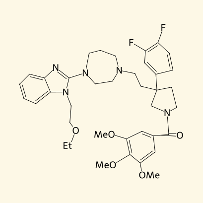 CCOCCn1c(N2CCCN(CCC3(c4ccc(F)c(F)c4)CCN(C(=O)c4cc(OC)c(OC)c(OC)c4)C3)CC2)nc2ccccc21